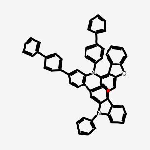 c1ccc(-c2ccc(-c3ccc(-c4ccc5c6ccccc6n(-c6ccccc6)c5c4)c(N(c4ccc(-c5ccccc5)cc4)c4cccc5oc6ccccc6c45)c3)cc2)cc1